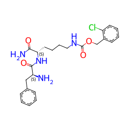 NC(=O)[C@H](CCCCNC(=O)OCc1ccccc1Cl)NC(=O)[C@@H](N)Cc1ccccc1